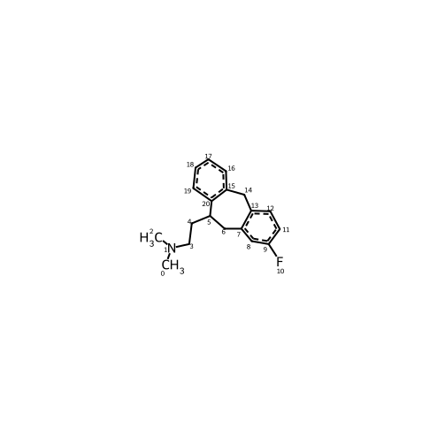 CN(C)CCC1Cc2cc(F)ccc2Cc2ccccc21